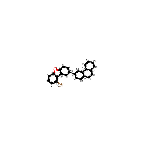 Brc1cccc2oc3ccc(-c4ccc5ccc6ccccc6c5c4)cc3c12